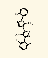 CC(=O)c1c(-c2c(F)cccc2F)noc1-c1cnn(-c2ccccc2F)c1C(F)(F)F